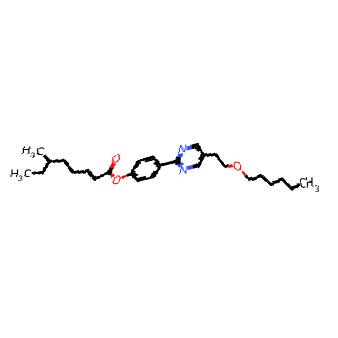 CCCCCCOCCc1cnc(-c2ccc(OC(=O)CCCCC(C)CC)cc2)nc1